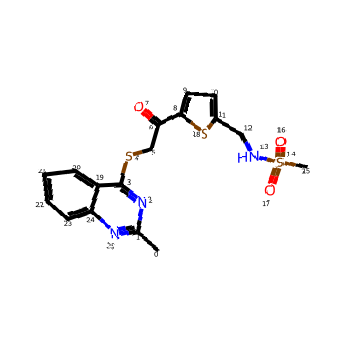 Cc1nc(SCC(=O)c2ccc(CNS(C)(=O)=O)s2)c2ccccc2n1